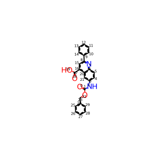 O=C(Nc1ccc2nc(-c3ccccc3)cc(C(=O)O)c2c1)OCc1ccccc1